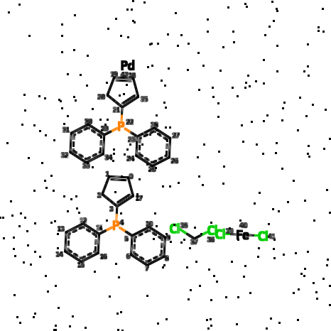 C1=CCC(P(c2ccccc2)c2ccccc2)=C1.C1=CCC(P(c2ccccc2)c2ccccc2)=C1.ClCCl.[Cl][Fe][Cl].[Pd]